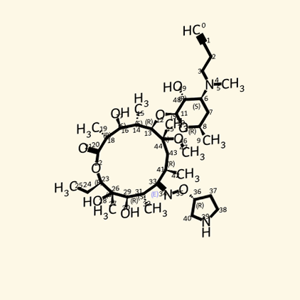 C#CCCN(C)[C@H]1C[C@@H](C)O[C@@H](O[C@@H]2[C@@H](C)[C@H](O)[C@@H](C)C(=O)O[C@H](CC)[C@@](C)(O)[C@H](O)[C@@H](C)/C(=N/O[C@@H]3CCNC3)[C@H](C)C[C@@]2(C)OC)[C@@H]1O